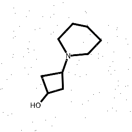 OC1CC(N2CC[CH]CC2)C1